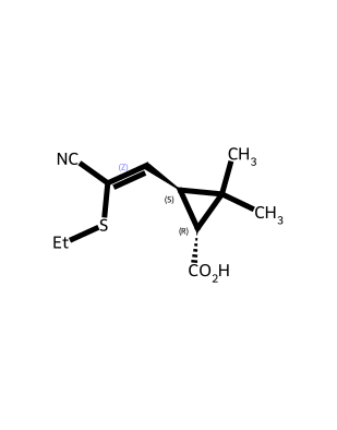 CCS/C(C#N)=C\[C@@H]1[C@@H](C(=O)O)C1(C)C